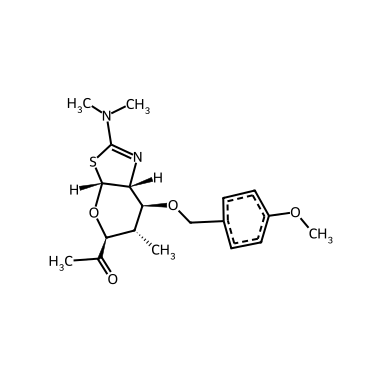 COc1ccc(CO[C@H]2[C@H](C)[C@@H](C(C)=O)O[C@@H]3SC(N(C)C)=N[C@H]23)cc1